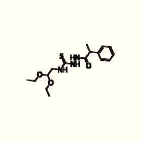 CCOC(CNC(=S)NNC(=O)C(C)c1ccccc1)OCC